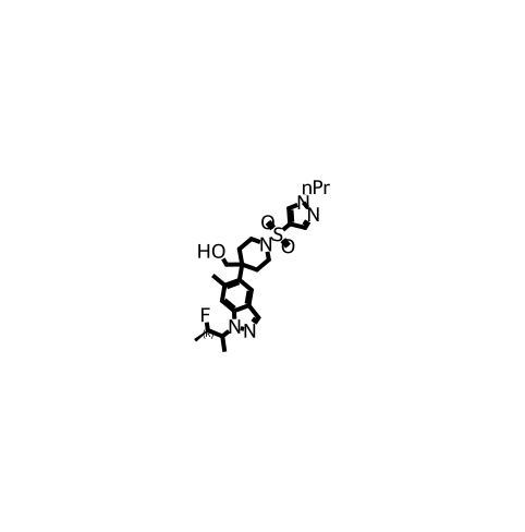 CCCn1cc(S(=O)(=O)N2CCC(CO)(c3cc4cnn(C(C)[C@@H](C)F)c4cc3C)CC2)cn1